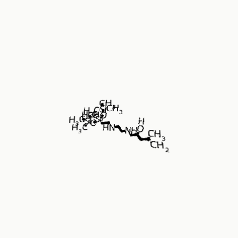 C=C(C)CC(O)CNCCNCC[Si](C)(O[Si](C)(C)C)O[Si](C)(C)C